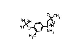 [2H]C([2H])([2H])Oc1ccc([C@]([2H])(N)CS(C)(=O)=O)cc1C